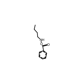 CCCCNOC(=O)c1ccccc1